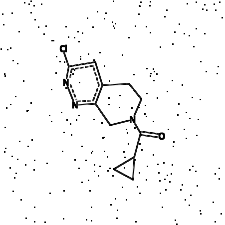 O=C(C1CC1)N1CCc2cc(Cl)nnc2C1